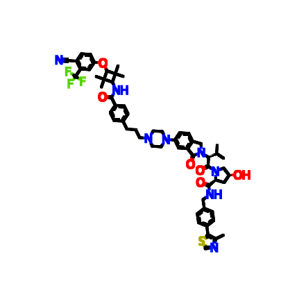 Cc1ncsc1-c1ccc(CNC(=O)[C@@H]2C[C@@H](O)CN2C(=O)[C@@H](C(C)C)N2Cc3ccc(N4CCN(CCCc5ccc(C(=O)NC6C(C)(C)C(Oc7ccc(C#N)c(C(F)(F)F)c7)C6(C)C)cc5)CC4)cc3C2=O)cc1